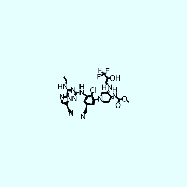 CCNc1nc(Nc2cc(C#N)cc(N3CC[C@H](NC(=O)OC)[C@H](NCC(O)C(F)(F)F)C3)c2Cl)nn2c(C#N)cnc12